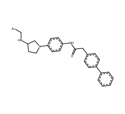 CC(=O)CNC1CCN(c2ccc(NC(=O)Cc3ccc(-c4ccccc4)cc3)cc2)C1